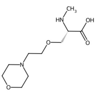 CN[C@@H](COCCN1CCOCC1)C(=O)O